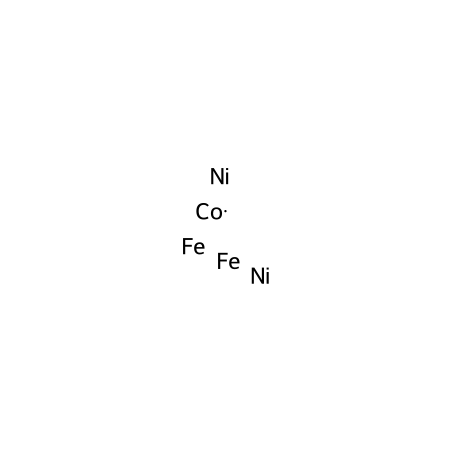 [Co].[Fe].[Fe].[Ni].[Ni]